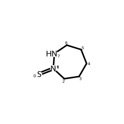 S=[N+]1CCCCCN1